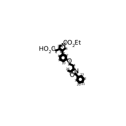 CCOC(=O)N1CC(CC(=O)O)=C(c2cccc(OCCc3nc(-c4ccccc4)oc3C)c2)C1